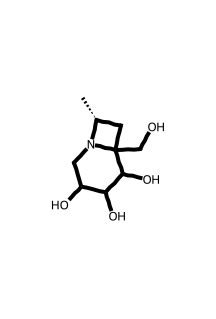 C[C@@H]1CC2(CO)C(O)C(O)C(O)CN12